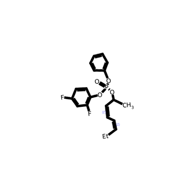 CC/C=C\C=C/C(C)OP(=O)(Oc1ccccc1)Oc1ccc(F)cc1F